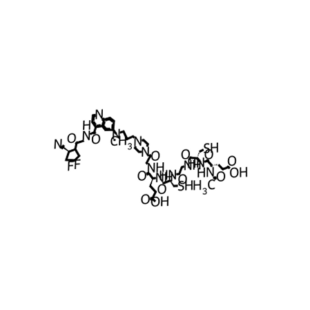 CC(=O)N[C@@H](CCC(=O)O)C(=O)N[C@@H](CS)C(=O)NCC(=O)N[C@@H](CS)C(=O)N[C@@H](CCC(=O)O)C(=O)NCC(=O)N1CCN(CCCN(C)c2ccc3nccc(C(=O)NCC(=O)C4CC(F)(F)C[C@H]4C#N)c3c2)CC1